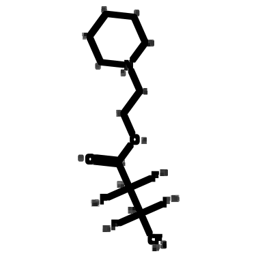 O=C(OCCN1CCCCC1)C(F)(F)C(F)(F)C(F)(F)F